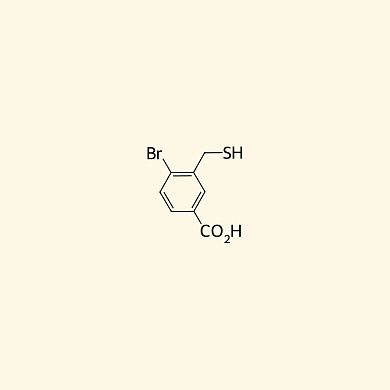 O=C(O)c1ccc(Br)c(CS)c1